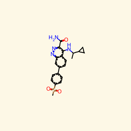 CC(Nc1c(C(N)=O)nnc2cc(-c3ccc(S(C)(=O)=O)cc3)ccc12)C1CC1